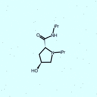 CC(C)NC(=O)[C@H]1C[C@H](O)CN1C(C)C